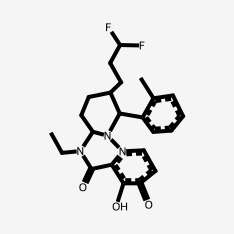 CCN1C(=O)c2c(O)c(=O)ccn2N2C(c3ccccc3C)C(CCC(F)F)CCC12